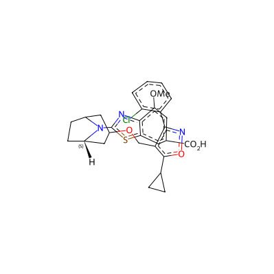 COc1cc(C(=O)O)cc2sc(N3C4CC[C@H]3CC(OCc3c(-c5ccccc5Cl)noc3C3CC3)C4)nc12